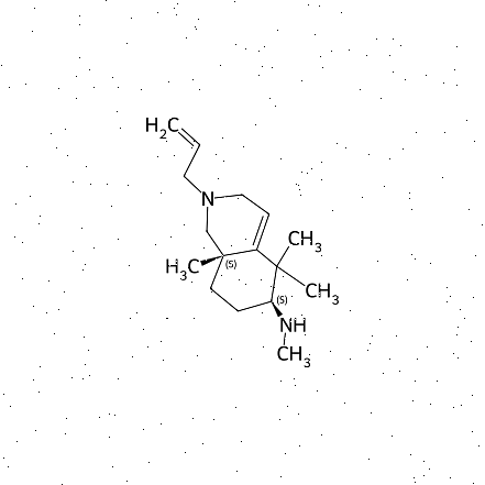 C=CCN1CC=C2C(C)(C)[C@@H](NC)CC[C@]2(C)C1